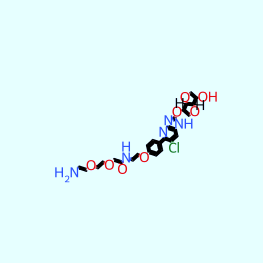 NCCOCCOCC(=O)NCCOc1ccc(-c2nc3nc(O[C@@H]4CO[C@H]5[C@@H]4OC[C@H]5O)[nH]c3cc2Cl)cc1